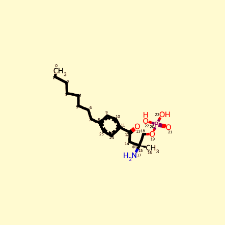 CCCCCCCCc1ccc(C(=O)C[C@@](C)(N)COP(=O)(O)O)cc1